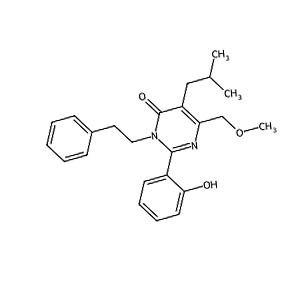 COCc1nc(-c2ccccc2O)n(CCc2ccccc2)c(=O)c1CC(C)C